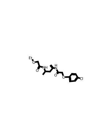 C=C(CC(C)NC(=O)COCC)NC(=O)COc1ccc(Cl)cc1